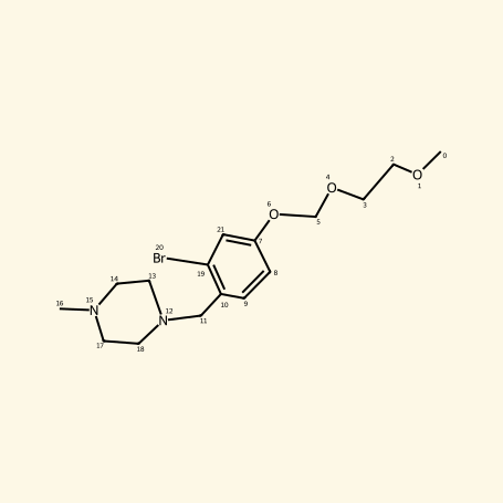 COCCOCOc1ccc(CN2CCN(C)CC2)c(Br)c1